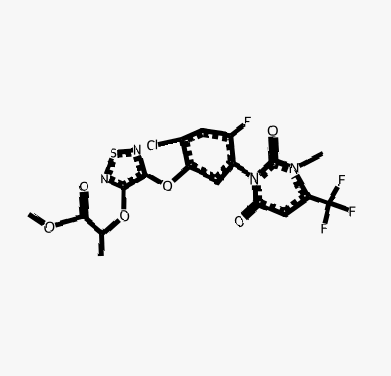 COC(=O)C(C)Oc1nsnc1Oc1cc(-n2c(=O)cc(C(F)(F)F)n(C)c2=O)c(F)cc1Cl